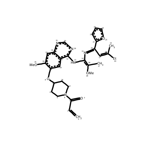 C=CC(=O)N1CCC(Oc2cc3c(NC(/N=C(\C=C(/C)CC)c4ccco4)=C(/C)OC)ncnc3cc2OC)CC1